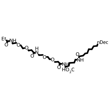 CCCCCCCCCCCCCCCCCC(=O)NCCCCC(NC(=O)CCOCCOCCNC(=O)CCOCCOCCNC(=O)CC)C(=O)O